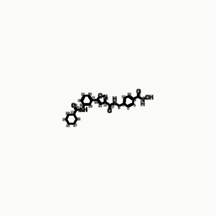 O=C(NO)c1ccc(CNC(=O)c2cc(-c3cccc(NC(=O)C4CCCCC4)c3)on2)cc1